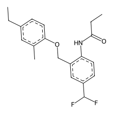 CCC(=O)Nc1ccc(C(F)F)cc1COc1ccc(CC)cc1C